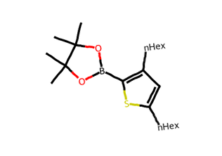 CCCCCCc1cc(CCCCCC)c(B2OC(C)(C)C(C)(C)O2)s1